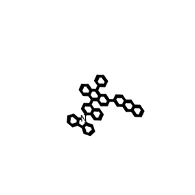 c1ccc(-c2c3ccccc3c(-c3ccc(-n4c5ccccc5c5ccccc54)c4ccccc34)c3ccc(-c4ccc5cc6ccccc6cc5c4)cc23)cc1